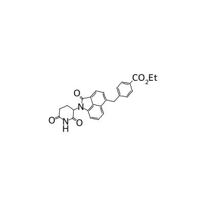 CCOC(=O)c1ccc(Cc2ccc3c4c(cccc24)N(C2CCC(=O)NC2=O)C3=O)cc1